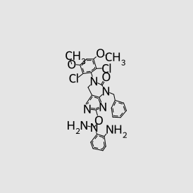 COc1cc(OC)c(Cl)c(N2Cc3cnc(ON(N)c4ccccc4N)nc3N(Cc3ccccc3)C2=O)c1Cl